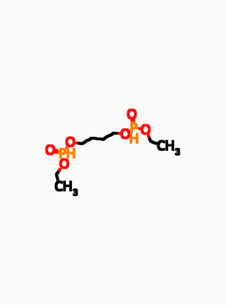 CCO[PH](=O)OCCCCO[PH](=O)OCC